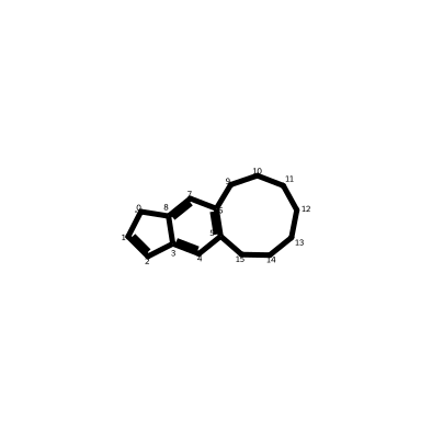 [CH]1C=Cc2cc3c(cc21)CCCCCCC3